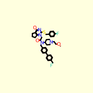 COCCN1CCC(N(Cc2ccc(-c3ccc(CF)cc3)cc2)C(=O)Cn2c(SCc3ccc(F)cc3)nc(=O)c3c2CCC3)CC1